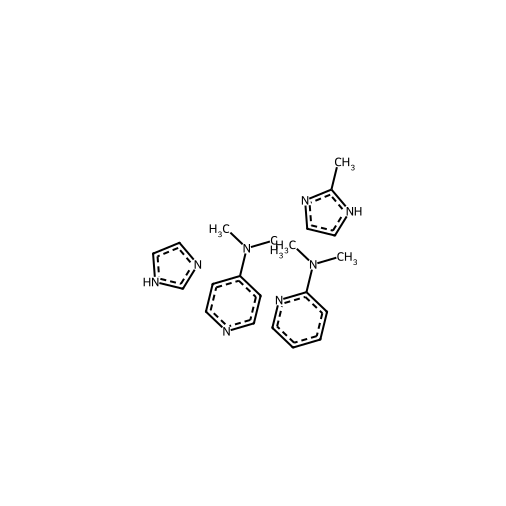 CN(C)c1ccccn1.CN(C)c1ccncc1.Cc1ncc[nH]1.c1c[nH]cn1